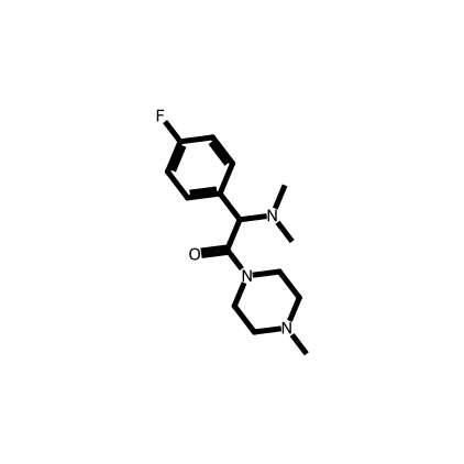 CN1CCN(C(=O)C(c2ccc(F)cc2)N(C)C)CC1